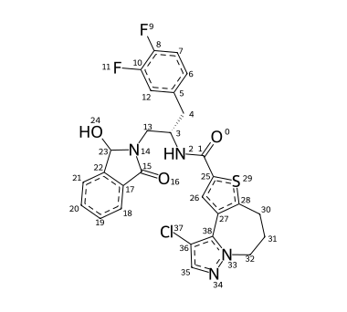 O=C(N[C@@H](Cc1ccc(F)c(F)c1)CN1C(=O)c2ccccc2C1O)c1cc2c(s1)CCCn1ncc(Cl)c1-2